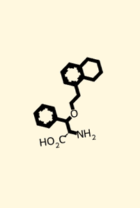 N[C@H](C(=O)O)C(OCCc1cccc2c1CCCC2)c1ccccc1